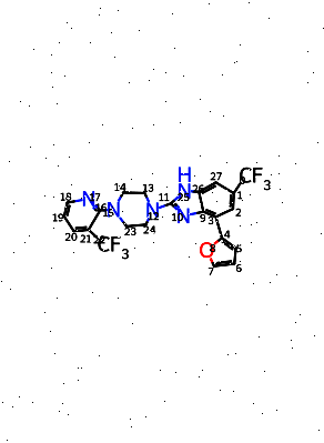 FC(F)(F)c1cc(-c2ccco2)c2nc(N3CCN(c4ncccc4C(F)(F)F)CC3)[nH]c2c1